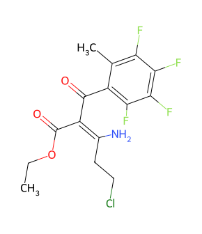 CCOC(=O)C(C(=O)c1c(C)c(F)c(F)c(F)c1F)=C(N)CCCl